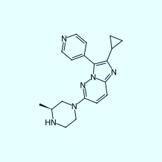 C[C@H]1CN(c2ccc3nc(C4CC4)c(-c4ccncc4)n3n2)CCN1